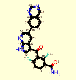 NC(=O)c1ccc(F)c(C(=O)c2c[nH]c3ncc(-c4ccc5cncnc5c4)cc23)c1F